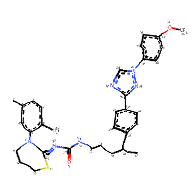 Cc1ccc(C(C)C)c(N2CCCS/C2=N\C(=O)NCCCC(C)c2ccc(-c3ncn(-c4ccc(OC(F)(F)F)cc4)n3)cc2)c1